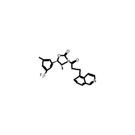 Cc1cc([C@H]2OC(=O)N(C(=O)CCc3cccc4cnccc34)[C@H]2C)cc(C(F)(F)F)c1